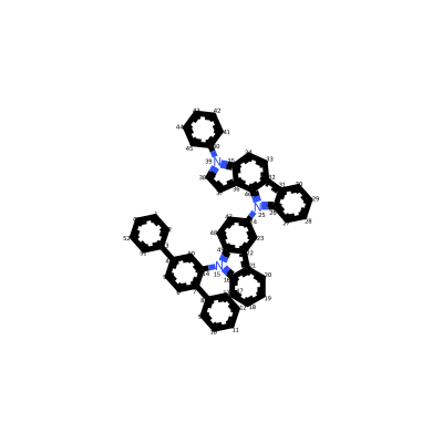 c1ccc(-c2ccc(-c3ccccc3)c(-n3c4ccccc4c4cc(-n5c6ccccc6c6ccc7c(ccn7-c7ccccc7)c65)ccc43)c2)cc1